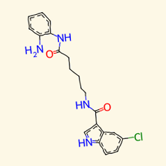 Nc1ccccc1NC(=O)CCCCCNC(=O)c1c[nH]c2ccc(Cl)cc12